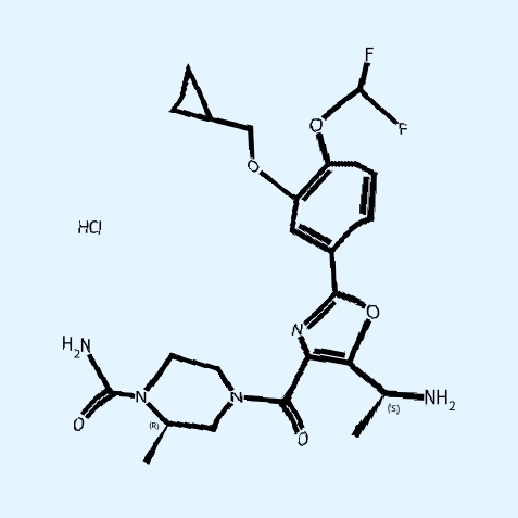 C[C@H](N)c1oc(-c2ccc(OC(F)F)c(OCC3CC3)c2)nc1C(=O)N1CCN(C(N)=O)[C@H](C)C1.Cl